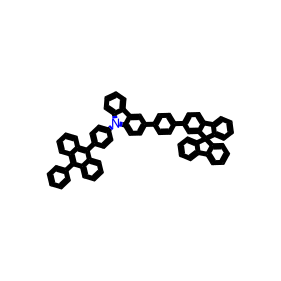 c1ccc(-c2c3ccccc3c(-c3ccc(-n4c5ccccc5c5cc(-c6ccc(-c7ccc8c(c7)C7(c9ccccc9-c9ccccc97)c7ccccc7-8)cc6)ccc54)cc3)c3ccccc23)cc1